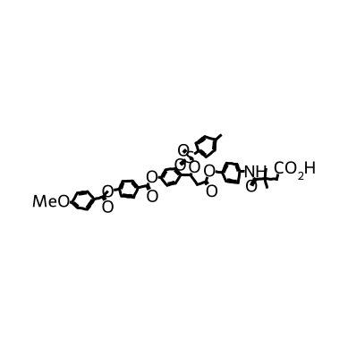 COc1ccc(C(=O)Oc2ccc(C(=O)Oc3ccc(C(CC(=O)Oc4ccc(NC(=O)C(C)(C)CC(=O)O)cc4)OS(=O)(=O)c4ccc(C)cc4)cc3)cc2)cc1